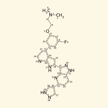 CN(C)CCOc1cc(F)cc(-c2ccnc3[nH]c(-c4n[nH]c5ccc(-c6cn[nH]c6)nc45)cc23)c1